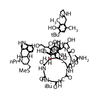 CCC(C)[C@@H]1NC(=O)CNC(=O)[C@@H]2Cc3c([nH]c4cc(O)ccc34)[S@+]([O-])C[C@H](NC(=O)CNC1=O)C(=O)N[C@@H](CC(N)=O)C(=O)N1CC(O)C[C@H]1C(=O)N[C@@H](C(C)[C@@H](O)CO)C(=O)N2.CCCN1C[C@H](CSC)C[C@@H]2c3cccc4[nH]cc(c34)C[C@H]21.Cc1cc(C(C)(C)C)c(O)c(C)c1CC1=NCCN1